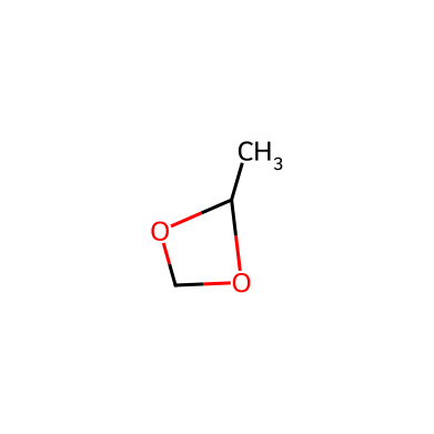 CC1OCO1